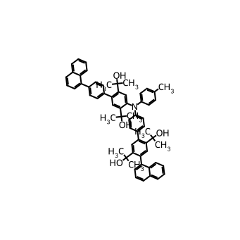 Cc1ccc(N(c2ccc(-c3cc(C(C)(C)O)c(-c4cccc5ccccc45)cc3C(C)(C)O)cc2)c2cc(C(C)(C)O)c(-c3ccc(-c4cccc5ccccc45)cc3)cc2C(C)(C)O)cc1